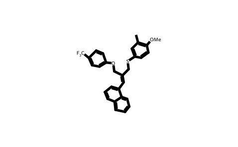 COc1ccc(SCC(=Cc2cccc3ccccc23)COc2ccc(C(F)(F)F)cc2)cc1C